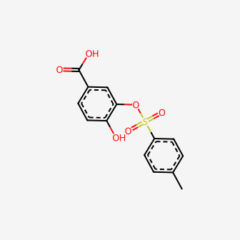 Cc1ccc(S(=O)(=O)Oc2cc(C(=O)O)ccc2O)cc1